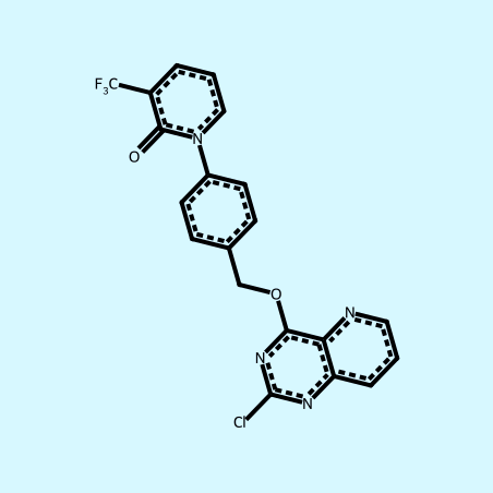 O=c1c(C(F)(F)F)cccn1-c1ccc(COc2nc(Cl)nc3cccnc23)cc1